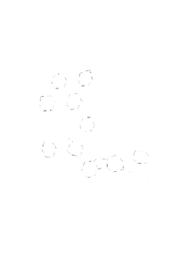 CC1(C)c2ccccc2-c2cc3sc4c(-c5cc(-c6cccc(-c7cc(-c8ccccc8)c(-c8ccccc8)c(-c8ccccc8)c7)c6)nc(-c6ccccc6)n5)cccc4c3cc21